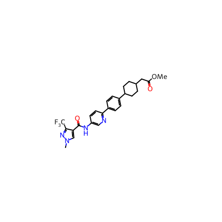 COC(=O)CC1CCC(c2ccc(-c3ccc(NC(=O)c4cn(C)nc4C(F)(F)F)cn3)cc2)CC1